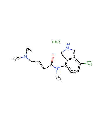 CN(C)C/C=C/C(=O)N(C)c1ccc(Cl)c2c1CNC2.Cl